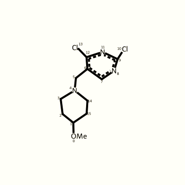 COC1CCN(Cc2cnc(Cl)nc2Cl)CC1